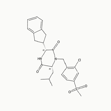 CC(C)C[C@@H]1C(=O)N[C@H](C2Cc3ccccc3C2)C(=O)N1Cc1ccc(S(C)(=O)=O)cc1Cl